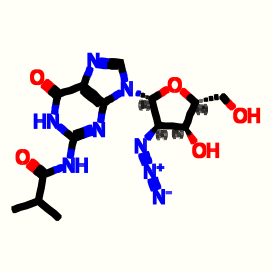 CC(C)C(=O)Nc1nc2c(ncn2[C@@H]2O[C@H](CO)[C@@H](O)[C@H]2N=[N+]=[N-])c(=O)[nH]1